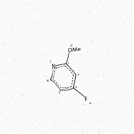 COc1cc(F)ccn1